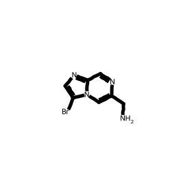 NCc1cn2c(Br)cnc2cn1